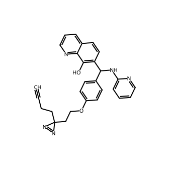 C#CCCC1(CCOc2ccc(C(Nc3ccccn3)c3ccc4cccnc4c3O)cc2)N=N1